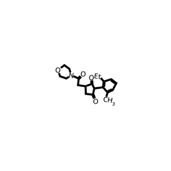 CCc1cccc(C)c1C1C(=O)CC(CC(=O)N2CCOCC2)C1=O